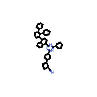 N#Cc1cccc(-c2ccc(-c3nc(-c4ccccc4)nc(-c4ccc(-c5cccc(-c6ccccc6)c5-c5ccccc5)c5ccccc45)n3)cc2)c1